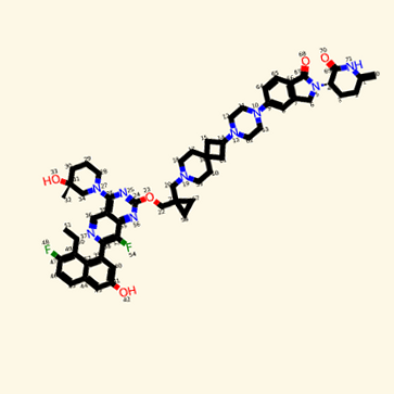 C=C1CC[C@H](N2Cc3cc(N4CCN(C5CC6(CCN(CC7(COc8nc(N9CCC[C@@](C)(O)C9)c9cnc(-c%10cc(O)cc%11ccc(F)c(CC)c%10%11)c(F)c9n8)CC7)CC6)C5)CC4)ccc3C2=O)C(=O)N1